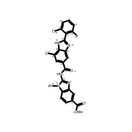 COC(=O)c1ccc2c(c1)nc(NC(=O)c1cc(Cl)c3[nH]c(-c4c(F)cccc4Cl)nc3c1)n2C(C)C